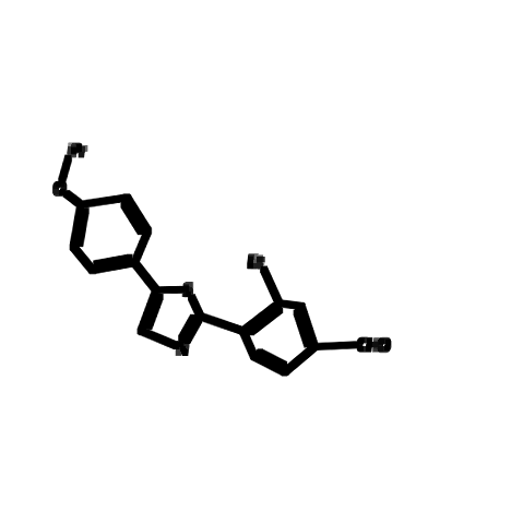 CCc1cc(C=O)ccc1-c1ncc(-c2ccc(OC(C)C)cc2)s1